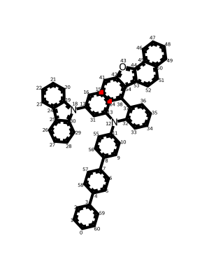 c1ccc(-c2ccc(-c3ccc(N(c4cccc(-n5c6ccccc6c6ccccc65)c4)c4ccccc4-c4cccc5oc6c7ccccc7ccc6c45)cc3)cc2)cc1